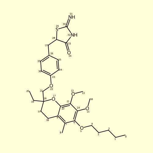 CCCCCOc1c(C)c2c(c(OC)c1OC)OC(CC)(COc1ccc(CC3SC(=N)NC3=O)cc1)CC2